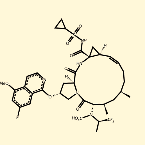 COc1cc(F)cc2c(O[C@@H]3C[C@H]4C(=O)N[C@]5(C(=O)NS(=O)(=O)C6CC6)C[C@H]5/C=C\CC[C@@H](C)C[C@@H](C)[C@H](N(C(=O)O)[C@H](C)C(F)(F)F)C(=O)N4C3)nccc12